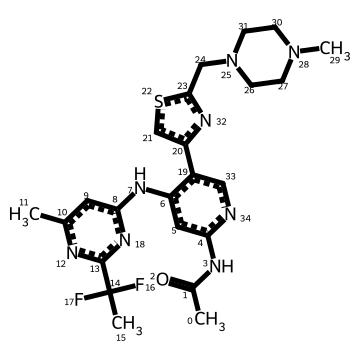 CC(=O)Nc1cc(Nc2cc(C)nc(C(C)(F)F)n2)c(-c2csc(CN3CCN(C)CC3)n2)cn1